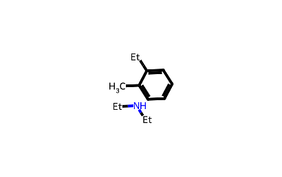 CCNCC.CCc1ccccc1C